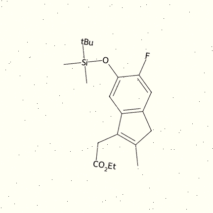 CCOC(=O)CC1=C(C)Cc2cc(F)c(O[Si](C)(C)C(C)(C)C)cc21